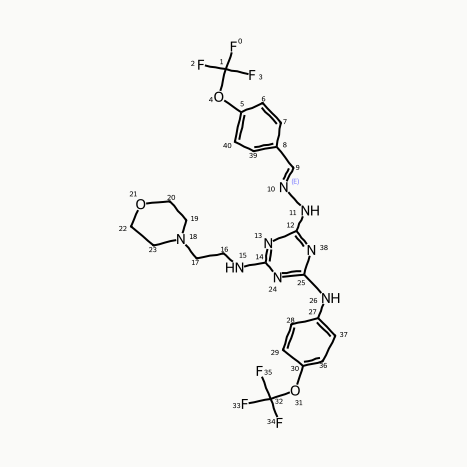 FC(F)(F)Oc1ccc(/C=N/Nc2nc(NCCN3CCOCC3)nc(Nc3ccc(OC(F)(F)F)cc3)n2)cc1